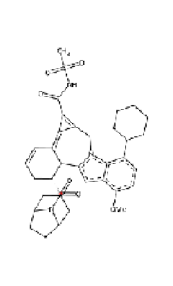 COc1ccc(C2CCCCC2)c2c1cc1n2CC2=C(C(=O)NS(C)(=O)=O)C2=C2C=CC[C@@H](C(=O)N3C4CCC3CC(=O)C4)C21